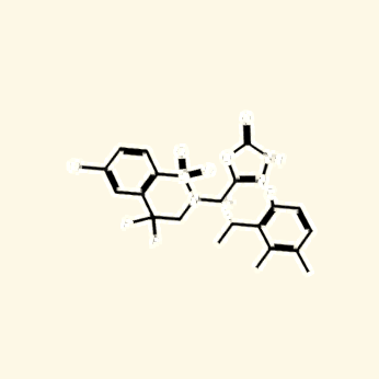 Cc1ccc(F)c(C(C)[C@@H](c2n[nH]c(=O)o2)N2CC(F)(F)c3cc(Cl)ccc3S2(=O)=O)c1C